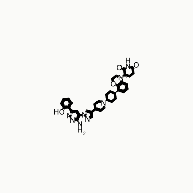 Nc1nnc(-c2ccccc2O)cc1-n1cc(C2=CCN([C@H]3CC[C@H](c4cccc5c4OCCN5[C@@H]4CCC(=O)NC4=O)CC3)CC2)cn1